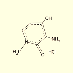 Cl.Cn1ccc(O)c(N)c1=O